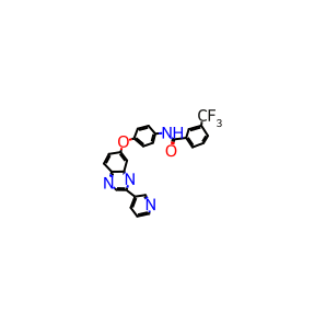 O=C(Nc1ccc(Oc2ccc3ncc(-c4cccnc4)nc3c2)cc1)c1cccc(C(F)(F)F)c1